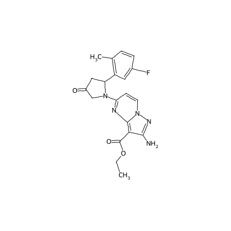 CCOC(=O)c1c(N)nn2ccc(N3CC(=O)CC3c3cc(F)ccc3C)nc12